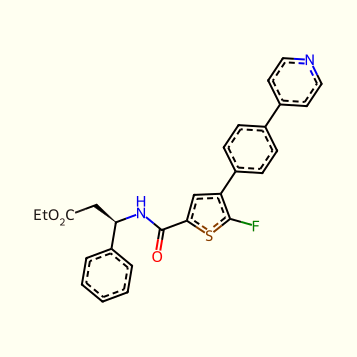 CCOC(=O)C[C@@H](NC(=O)c1cc(-c2ccc(-c3ccncc3)cc2)c(F)s1)c1ccccc1